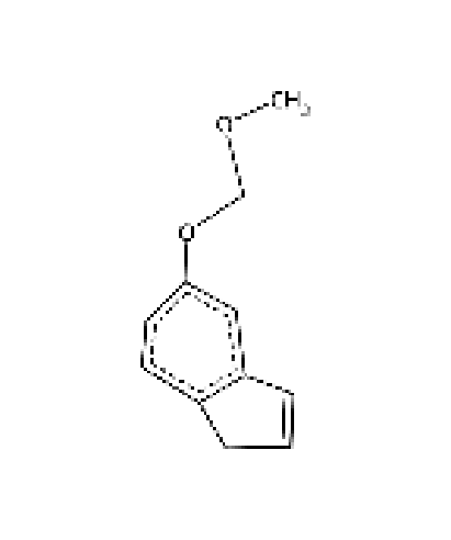 COCOc1ccc2c(c1)C=CC2